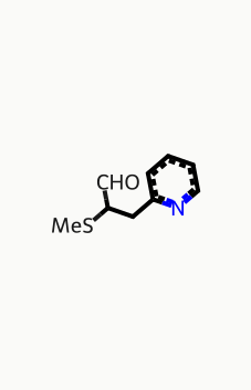 CSC(C=O)Cc1ccccn1